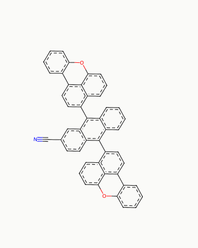 N#Cc1ccc2c(-c3ccc4c5c(cccc35)Oc3ccccc3-4)c3ccccc3c(-c3ccc4c5c(cccc35)Oc3ccccc3-4)c2c1